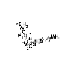 O.O.O.O.O.O.O.O.O.[BiH3].[BiH3].[W].[W]